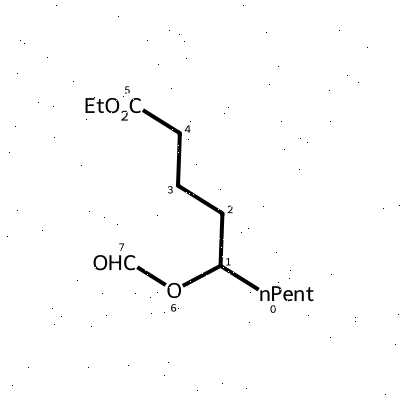 CCCCCC(CCCC(=O)OCC)OC=O